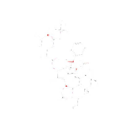 C=CC1O[C@H]2C[C@H]3OCC3(OC(C)=O)[C@H]3[C@H](OC(=O)c4ccccc4)C4(C(C)(C)O)C[C@H](OC(=O)[C@H](O)[C@H](CC(C)C)NC(=O)OC(C)(C)C)C(C)=C4[C@H](OC(C)=O)[C@H](O1)[C@]23C